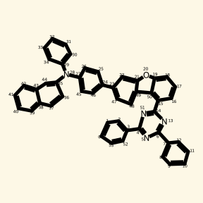 c1ccc(-c2nc(-c3ccccc3)nc(-c3cccc4oc5cc(-c6ccc(N(c7ccccc7)c7ccc8ccccc8c7)cc6)ccc5c34)n2)cc1